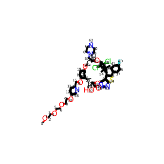 COCCOCCOCCOc1ccc(COc2ccc3cc2C[C@H](C(=O)O)Oc2ncnc4sc(-c5ccc(F)cc5)c(c24)-c2c(C)c(Cl)c(c(Cl)c2C)O[C@H](CN2CCN(C)CC2)CO3)nc1